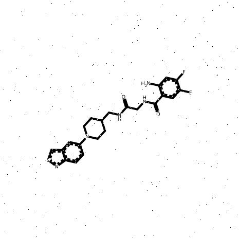 Nc1cc(F)c(F)cc1C(=O)NCC(=O)NCC1CCN(c2ccc3nscc3c2)CC1